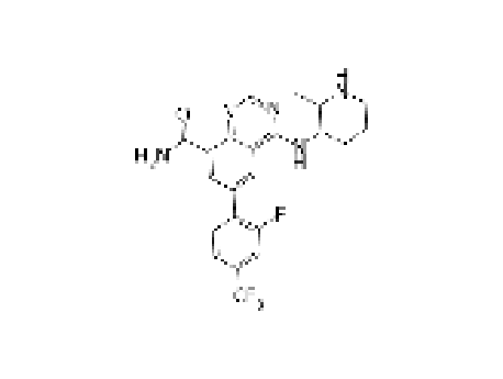 CC1NCCCC1Nc1ncnc2c(C(N)=O)cc(-c3ccc(C(F)(F)F)cc3F)cc12